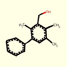 Cc1cc(-c2ccccc2)c(C)c(CO)c1C